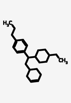 CCCc1ccc(C(CC2CC=CCC2)C2CCC(CC)CC2)cc1